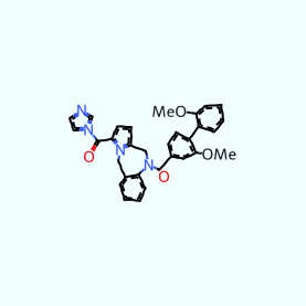 COc1ccccc1-c1ccc(C(=O)N2Cc3ccc(C(=O)n4ccnc4)n3Cc3ccccc32)cc1OC